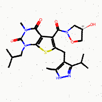 Cc1[nH]nc(C(C)C)c1Cc1sc2c(c1C(=O)N1C[C@H](O)CO1)c(=O)n(C)c(=O)n2CC(C)C